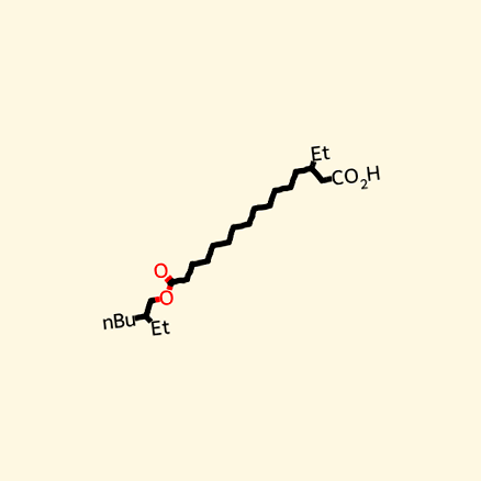 CCCCC(CC)COC(=O)CCCCCCCCCCCCC(CC)CC(=O)O